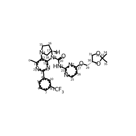 Cc1nc(-c2cccc(C(F)(F)F)c2)nc2c1N1CC[C@@H](C1)N2C(=O)Nc1nccc(OC[C@@H]2COC(C)(C)O2)n1